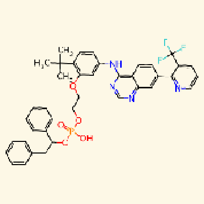 CC(C)(C)c1ccc(Nc2ncnc3cc(-c4ncccc4C(F)(F)F)ccc23)cc1OCCOP(=O)(O)OC(Cc1ccccc1)c1ccccc1